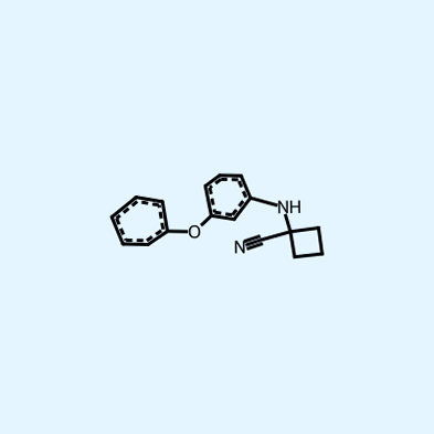 N#CC1(Nc2cccc(Oc3ccccc3)c2)CCC1